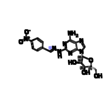 Nc1nc(N/N=C/c2ccc([N+](=O)[O-])cc2)nc2c1ncn2[C@@H]1O[C@H](CO)[C@@H](O)[C@H]1O